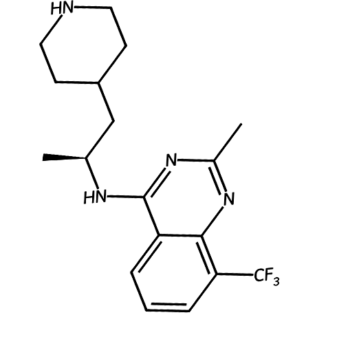 Cc1nc(N[C@@H](C)CC2CCNCC2)c2cccc(C(F)(F)F)c2n1